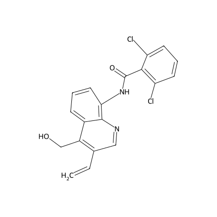 C=Cc1cnc2c(NC(=O)c3c(Cl)cccc3Cl)cccc2c1CO